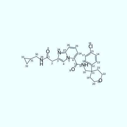 O=C(Cc1cn2c(C(=O)NCC3(c4ccc(Cl)cc4)CCOCC3)cccc2n1)NCC1CC1